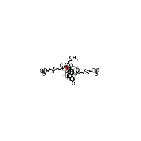 CCCC1O[C@@H]2C[C@H]3[C@@H]4CCC5=CC(=O)C=C[C@]5(C)[C@H]4[C@@H](OC(=O)CCCSSCCO[N+](=O)[O-])C[C@]3(C)[C@]2(C(=O)COC(=O)CCCSSCCO[N+](=O)[O-])O1